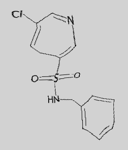 O=S(=O)(Nc1ccccc1)c1cncc(Cl)c1